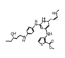 CCC(O)CCNc1ccc(NC2=NC(Nc3ccsc3C(=O)OC)=CC(C/C=C\NC)N2)cc1